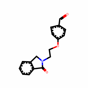 O=Cc1ccc(OCCN2Cc3ccccc3C2=O)cc1